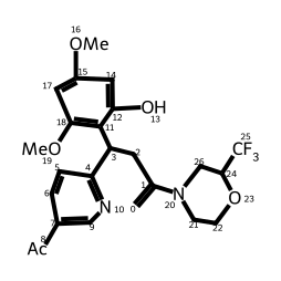 C=C(CC(c1ccc(C(C)=O)cn1)c1c(O)cc(OC)cc1OC)N1CCOC(C(F)(F)F)C1